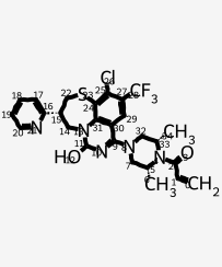 C=CC(=O)N1[C@H](C)CN(C2=NC(O)N3C[C@H](c4ccccn4)CSc4c(Cl)c(C(F)(F)F)cc2c43)C[C@@H]1C